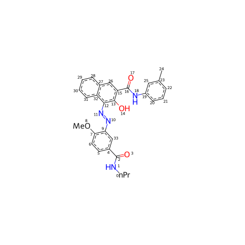 CCCNC(=O)c1ccc(OC)c(/N=N/c2c(O)c(C(=O)Nc3cccc(C)c3)cc3ccccc23)c1